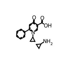 NC1CC1.O=C(O)c1cn(C2CC2)c(-c2ccccc2)cc1=O